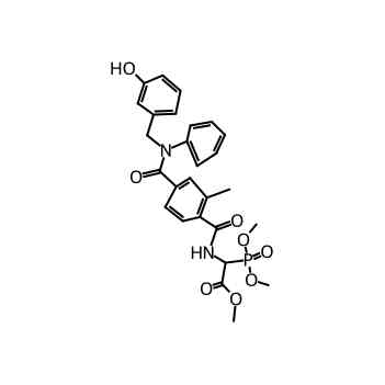 COC(=O)C(NC(=O)c1ccc(C(=O)N(Cc2cccc(O)c2)c2ccccc2)cc1C)P(=O)(OC)OC